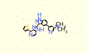 CN(C)c1cncc(-c2ccc3[nH]nc(-c4nc5c(-c6cccs6)nccc5[nH]4)c3c2)c1